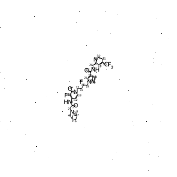 O=C(CN1CC2CC(C2)C1)Nc1ccn(CCC(F)Cn2cc(C(=O)NCc3cc(C(F)(F)F)ccn3)nn2)c(=O)c1F